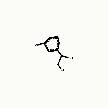 CC(=O)c1cccc(C(O)CO)c1